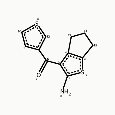 Nc1sc2c(c1C(=O)c1ccsc1)CCC2